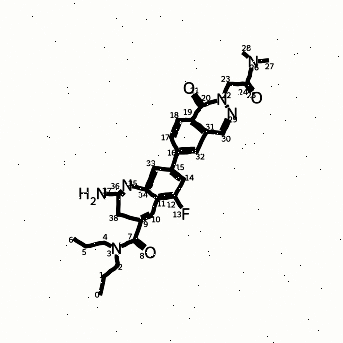 CCCN(CCC)C(=O)C1=Cc2c(F)cc(-c3ccc4c(=O)n(CC(=O)N(C)C)ncc4c3)cc2N=C(N)C1